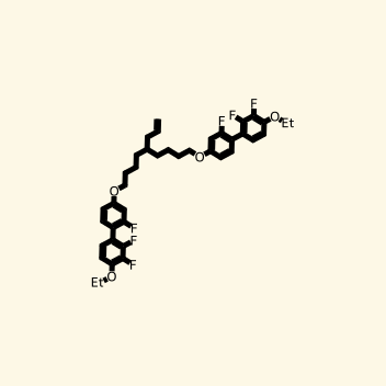 C=CCC(CCCCOc1ccc(-c2ccc(OCC)c(F)c2F)c(F)c1)CCCCOc1ccc(-c2ccc(OCC)c(F)c2F)c(F)c1